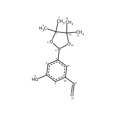 CC1(C)OB(c2cc(O)cc(C=O)c2)OC1(C)C